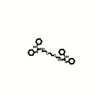 C1CCC(N=C(NCCOCCOCCNC(=NC2CCCCC2)NC2CCCCC2)NC2CCCCC2)CC1